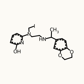 CC(NCCN(CI)c1cccc(O)n1)c1ccc2c(c1)OCCO2